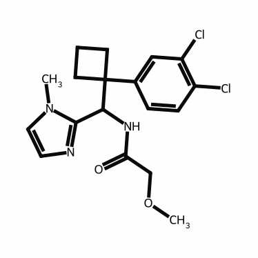 COCC(=O)NC(c1nccn1C)C1(c2ccc(Cl)c(Cl)c2)CCC1